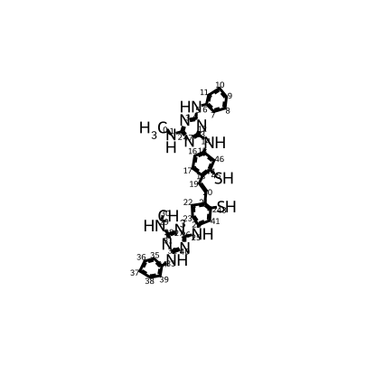 CNc1nc(Nc2ccccc2)nc(Nc2ccc(/C=C/c3ccc(Nc4nc(NC)nc(Nc5ccccc5)n4)cc3S)c(S)c2)n1